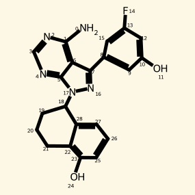 Nc1ncnc2c1c(-c1cc(O)cc(F)c1)nn2C1CCCc2c(O)cccc21